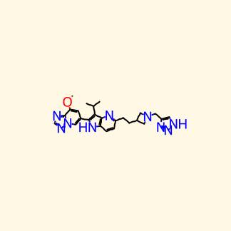 COc1cc(-c2[nH]c3ccc(CCC4CN(Cc5c[nH]nn5)C4)nc3c2C(C)C)cn2ncnc12